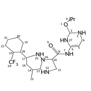 CC(C)OC1NCC=C(NC(=O)C2CNC3C(C)CC(C4CCCCC4C(F)(F)F)NN23)N1